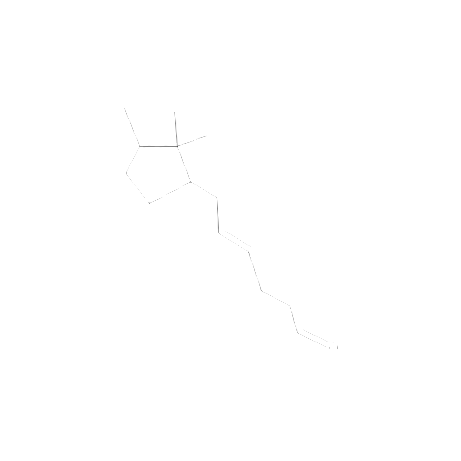 CC1CCC(CC=CCCC=O)C1(C)C